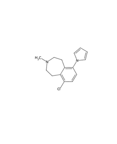 CN1CCc2c(Cl)ccc(-n3cccc3)c2CC1